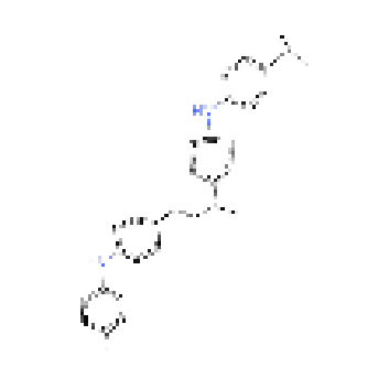 Cc1ccc(Nc2ccc(CCC(C)c3ccc(Nc4ccc(C(C)C)cc4)cc3)cc2)cc1